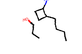 CCCCC1CCC1NC.CCCO